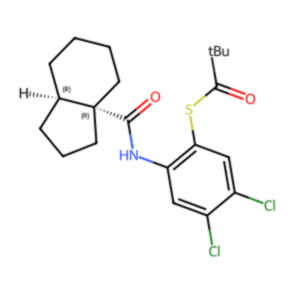 CC(C)(C)C(=O)Sc1cc(Cl)c(Cl)cc1NC(=O)[C@@]12CCCC[C@@H]1CCC2